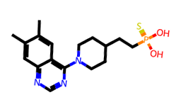 Cc1cc2ncnc(N3CCC(CCP(O)(O)=S)CC3)c2cc1C